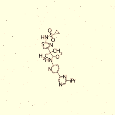 CC(C)c1cncc(-c2ccc(NC(=O)C(C)(C)c3csc(NS(=O)(=O)C4CC4)n3)nc2)n1